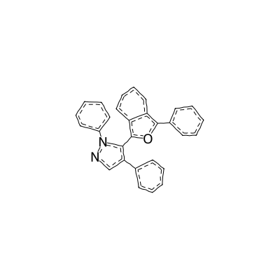 c1ccc(-c2cnn(-c3ccccc3)c2-c2oc(-c3ccccc3)c3ccccc23)cc1